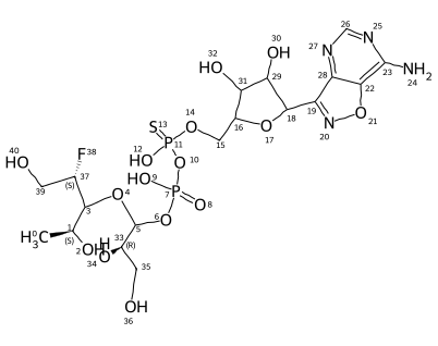 C[C@H](O)C(OC(OP(=O)(O)OP(O)(=S)OCC1OC(c2noc3c(N)ncnc23)C(O)C1O)[C@H](O)CO)[C@@H](F)CO